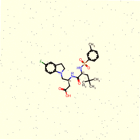 Cc1cccc(S(=O)(=O)N[C@@H](CC(C)(C)C)C(=O)N[C@@H](CC(=O)O)CN2CCc3cc(F)ccc32)c1